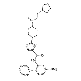 COc1ccc(-c2ccccc2)c(NC(=O)c2csc(C3CCC(C(=O)CCC4CCCC4)CC3)n2)c1